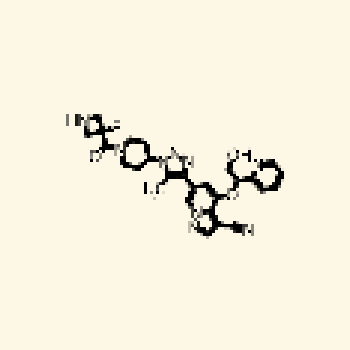 Cc1c(-c2cc(OC(CO)c3ccccn3)c3c(C#N)cnn3c2)nnn1C1CCN(C(=O)C2(F)CNC2)CC1